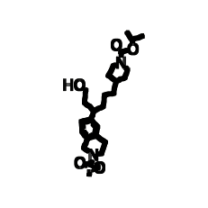 CC(C)OC(=O)N1CCC(CCCC(CCO)c2ccc3c(c2)CCN(S(C)(=O)=O)C3)CC1